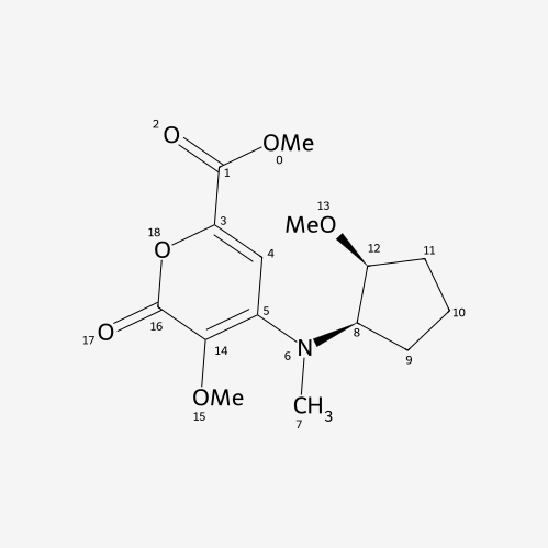 COC(=O)c1cc(N(C)[C@@H]2CCC[C@@H]2OC)c(OC)c(=O)o1